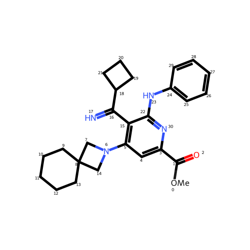 COC(=O)c1cc(N2CC3(CCCCC3)C2)c(C(=N)C2CCC2)c(Nc2ccccc2)n1